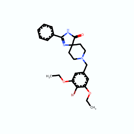 CCOc1cc(CN2CCC3(CC2)N=C(c2ccccc2)NC3=O)cc(OCC)c1Br